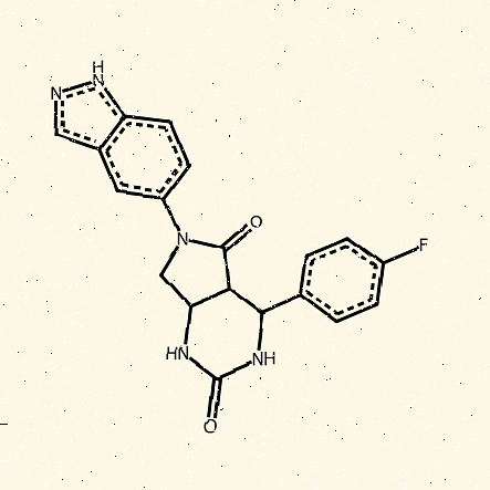 O=C1NC2CN(c3ccc4[nH]ncc4c3)C(=O)C2C(c2ccc(F)cc2)N1